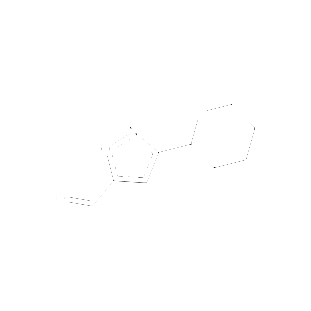 O=Cc1cc(C2CCCCO2)no1